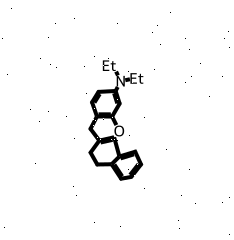 CCN(CC)c1ccc2c(c1)OC1=C(CCc3ccccc31)C2